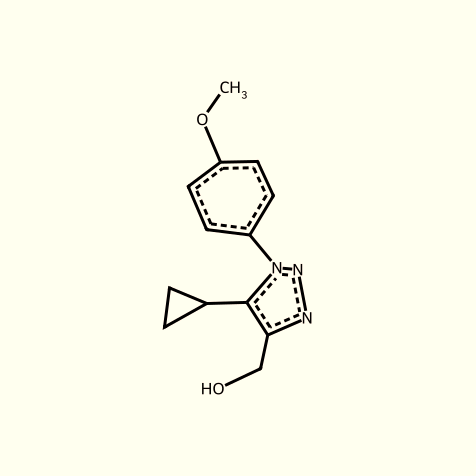 COc1ccc(-n2nnc(CO)c2C2CC2)cc1